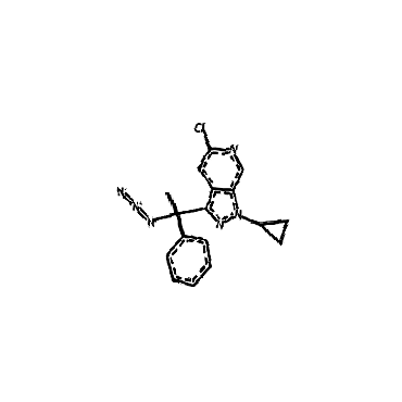 CC(N=[N+]=[N-])(c1ccccc1)c1nn(C2CC2)c2cnc(Cl)cc12